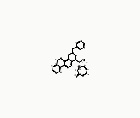 NCC1=CC(Cc2ccccc2)Cc2c1ccc1c2CCc2ccccc2-1.O=C1C=CC=CNC1